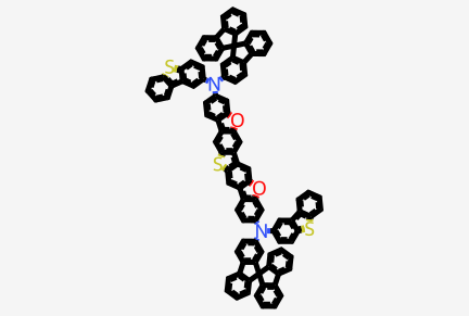 c1ccc2c(c1)-c1ccccc1C21c2ccccc2-c2ccc(N(c3ccc4c(c3)oc3cc5c(cc34)sc3cc4c(cc35)oc3cc(N(c5ccc6c(c5)C5(c7ccccc7-c7ccccc75)c5ccccc5-6)c5ccc6sc7ccccc7c6c5)ccc34)c3ccc4sc5ccccc5c4c3)cc21